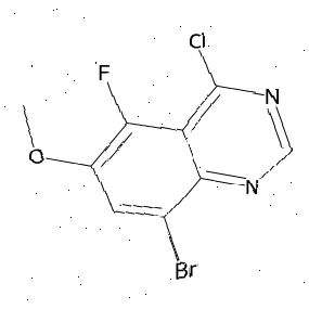 COc1cc(Br)c2ncnc(Cl)c2c1F